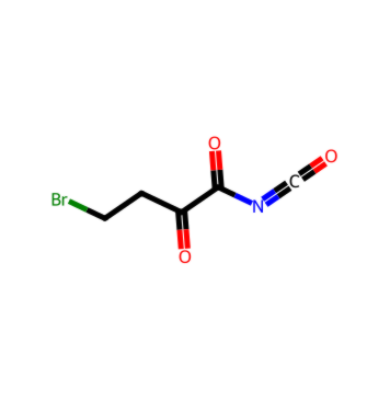 O=C=NC(=O)C(=O)CCBr